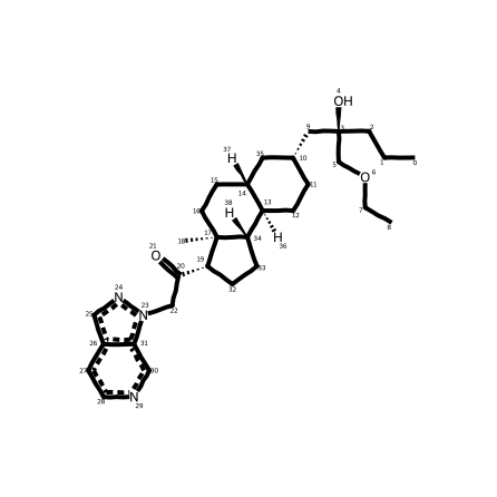 CCC[C@](O)(COCC)C[C@@H]1CC[C@@H]2[C@H](CC[C@]3(C)[C@@H](C(=O)Cn4ncc5ccncc54)CC[C@@H]23)C1